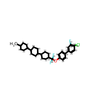 CC1CCC(C2CCC(C3CCC(C(F)(F)Oc4ccc(-c5ccc(Cl)c(F)c5)cc4)CC3)CC2)CC1